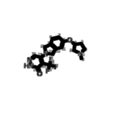 CN1CCC(Oc2ccc3c(c2)CN(c2cn[nH]c(=O)c2C(F)(F)F)C3)C1